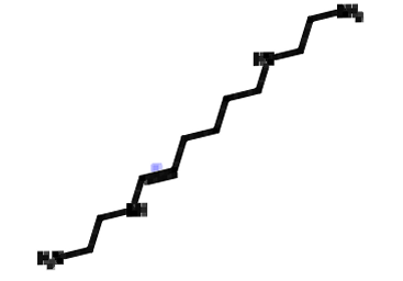 NCCN/C=C/CCCCNCCN